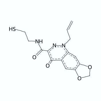 C=CCn1nc(C(=O)NCCS)c(=O)c2cc3c(cc21)OCO3